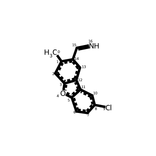 Cc1cc2oc3ccc(Cl)cc3c2cc1C=N